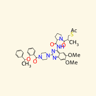 COc1cc2nc(N3CCN(C(=O)c4ccccc4OC(C)c4ccccc4)CC3)nc(NC(=O)C3CCCN3C(=O)C(C)CSC(C)=O)c2cc1OC